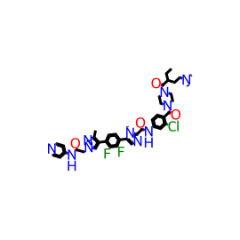 CCC(CCN(C)C)C(=O)N1CCN(C(=O)c2ccc(NC(=O)c3ncc(-c4ccc(-c5cn(CC(=O)Nc6ccncc6)nc5C)c(F)c4F)n3C)cc2Cl)CC1